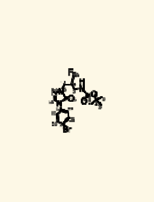 CC(C)(C)OC(=O)NC/C(=C/F)Cn1ncn(-c2ccc(Br)cc2)c1=O